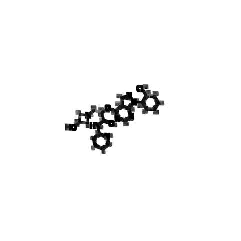 O=C(Nc1ccccn1)[C@H](CN1CC(O)C1)Oc1ncnc2c1cnn2-c1ccccc1Cl